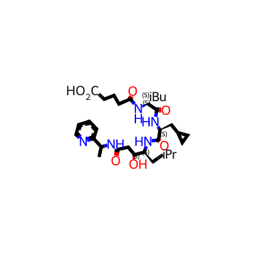 CC[C@H](C)[C@H](NC(=O)CCCC(=O)O)C(=O)N[C@@H](CC1CC1)C(=O)N[C@@H](CC(C)C)[C@@H](O)CC(=O)NC(C)c1ccccn1